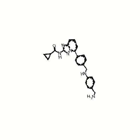 NCc1ccc(NCc2ccc(-c3cccc4nc(NC(=O)C5CC5)nn34)cc2)cc1